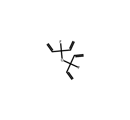 C=CC(F)(C=C)OC(F)(C=C)C=C